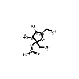 O=[Se](O)OC1(CO)O[C@H](CO)[C@@H](O)[C@@H]1O